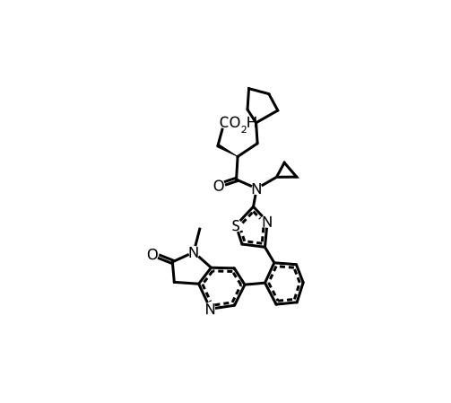 CN1C(=O)Cc2ncc(-c3ccccc3-c3csc(N(C(=O)[C@@H](CC(=O)O)CC4CCCC4)C4CC4)n3)cc21